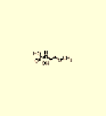 COCCNP(=O)(O)O